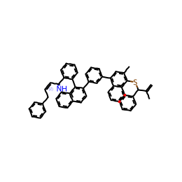 C=C(C)C(Sc1c(C)cc(-c2cccc(-c3ccc4ccccc4c3-c3ccccc3C(=N)/C=C\Cc3ccccc3)c2)c2ccccc12)c1ccccc1